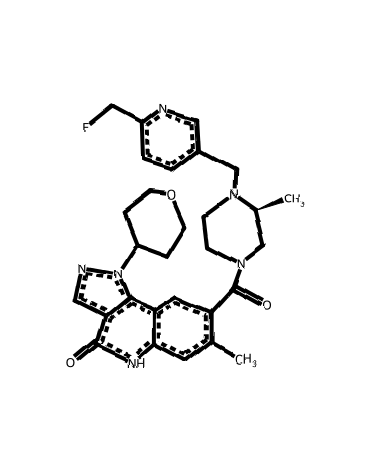 Cc1cc2[nH]c(=O)c3cnn(C4CCOCC4)c3c2cc1C(=O)N1CCN(Cc2ccc(CF)nc2)[C@@H](C)C1